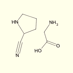 N#CC1CCCN1.NCC(=O)O